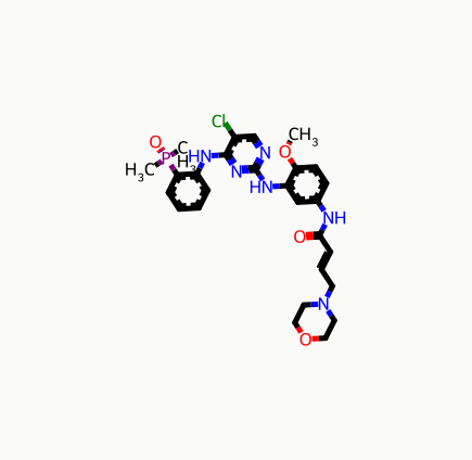 COc1ccc(NC(=O)C=CCN2CCOCC2)cc1Nc1ncc(Cl)c(Nc2ccccc2P(C)(C)=O)n1